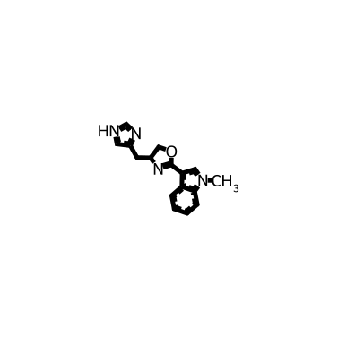 Cn1cc(C2=NC(Cc3c[nH]cn3)CO2)c2ccccc21